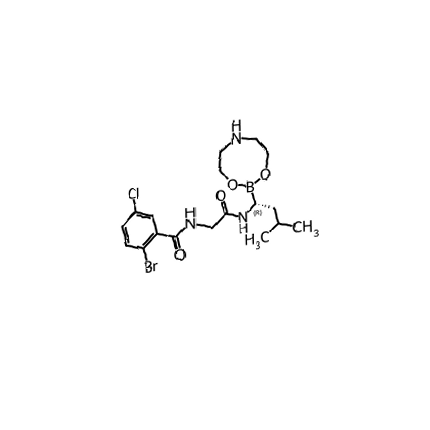 CC(C)C[C@H](NC(=O)CNC(=O)c1cc(Cl)ccc1Br)B1OCCNCCO1